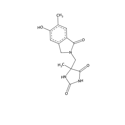 Cc1cc2c(cc1O)CN(CC1(C)NC(=O)NC1=O)C2=O